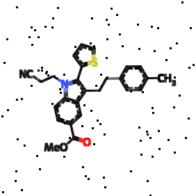 COC(=O)c1ccc2c(c1)c(CCc1ccc(C)cc1)c(-c1cccs1)n2CCC#N